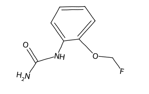 NC(=O)Nc1ccccc1OCF